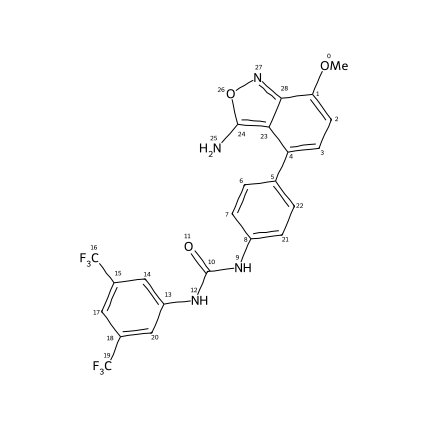 COc1ccc(-c2ccc(NC(=O)Nc3cc(C(F)(F)F)cc(C(F)(F)F)c3)cc2)c2c(N)onc12